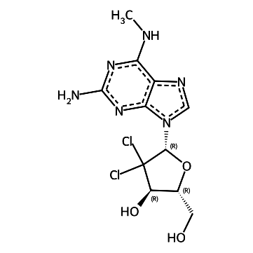 CNc1nc(N)nc2c1ncn2[C@@H]1O[C@H](CO)[C@@H](O)C1(Cl)Cl